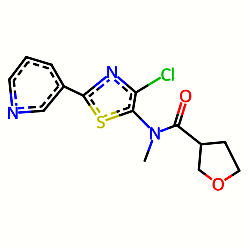 CN(C(=O)C1CCOC1)c1sc(-c2cccnc2)nc1Cl